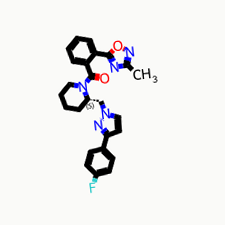 Cc1noc(-c2ccccc2C(=O)N2CCCC[C@H]2Cn2ccc(-c3ccc(F)cc3)n2)n1